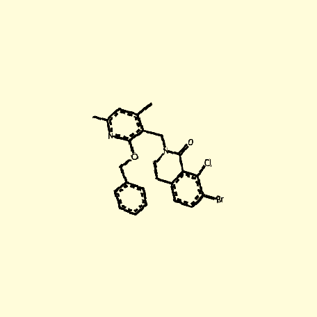 Cc1cc(C)c(CN2CCc3ccc(Br)c(Cl)c3C2=O)c(OCc2ccccc2)n1